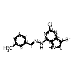 Cc1cccc(C=NNc2nc(Cl)nc3c(Br)c[nH]c23)c1